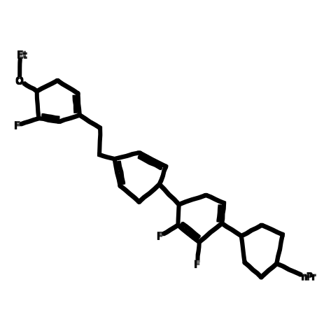 CCCC1CCC(C2=CCC(C3C=CC(CCC4=CCC(OCC)C(F)=C4)=CC3)C(F)=C2F)CC1